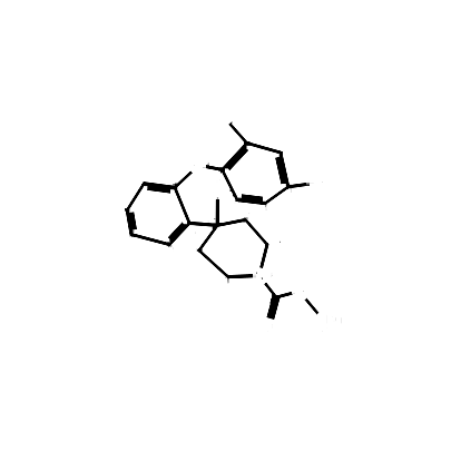 Cc1cc(F)ccc1Oc1ccccc1C1(O)CCN(C(=O)OC(C)(C)C)CC1